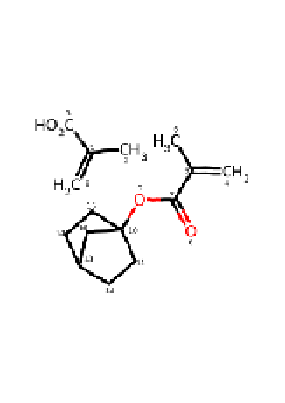 C=C(C)C(=O)O.C=C(C)C(=O)OC12CCC(CC1)C2